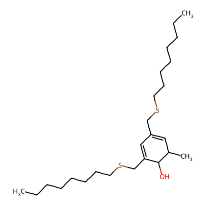 CCCCCCCCSCC1=CC(C)C(O)C(CSCCCCCCCC)=C1